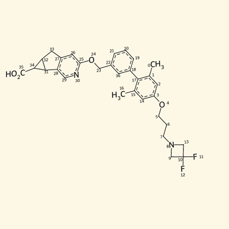 Cc1cc(OCCCN2CC(F)(F)C2)cc(C)c1-c1cccc(COc2cc3c(cn2)C2C(C3)C2C(=O)O)c1